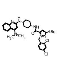 CN(C)c1cc(N[C@H]2CC[C@@H](NC(=O)c3cc(C(C)(C)C)nn3Cc3ccc(Cl)cc3Cl)CC2)nc2ccccc12